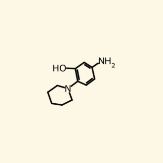 Nc1ccc(N2CCCCC2)c(O)c1